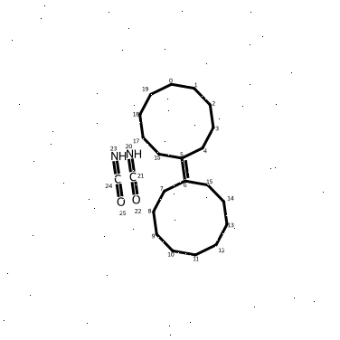 C1CCCCC(=C2CCCCCCCCC2)CCCC1.N=C=O.N=C=O